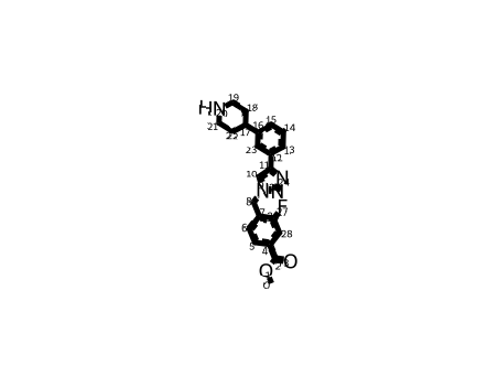 COC(=O)c1ccc(Cn2cc(-c3cccc(C4CCNCC4)c3)nn2)c(F)c1